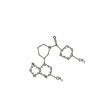 Cc1ccc(C(=O)N2CCCC(c3cc(C)nc4ncnn34)C2)cc1